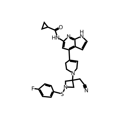 N#CCC1(N2CC=C(c3cc(NC(=O)C4CC4)nc4[nH]ccc34)CC2)CN(Sc2ccc(F)cc2)C1